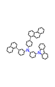 c1cc(-c2cccc3ccccc23)cc(N(c2ccc(-c3cccc4c3ccc3ccccc34)cc2)c2cccc(-n3c4ccccc4c4ccccc43)c2)c1